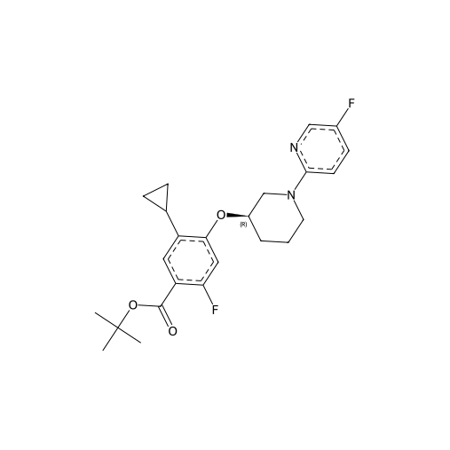 CC(C)(C)OC(=O)c1cc(C2CC2)c(O[C@@H]2CCCN(c3ccc(F)cn3)C2)cc1F